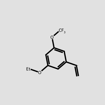 C=[C]c1cc(OCC)cc(OC(F)(F)F)c1